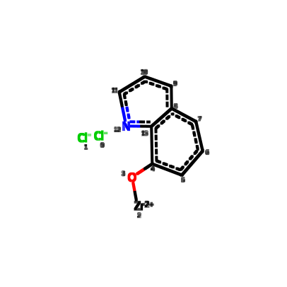 [Cl-].[Cl-].[Zr+2][O]c1cccc2cccnc12